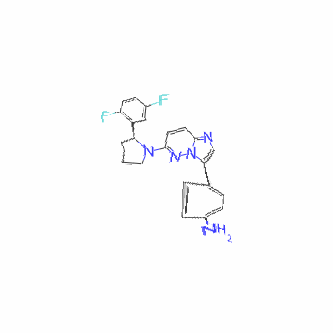 Nc1ccc(-c2cnc3ccc(N4CCC[C@H]4c4cc(F)ccc4F)nn23)cc1